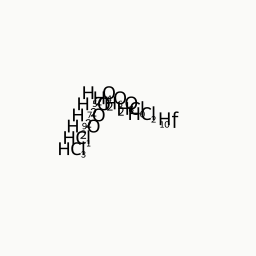 Cl.Cl.Cl.Cl.O.O.O.O.O.O.[Hf]